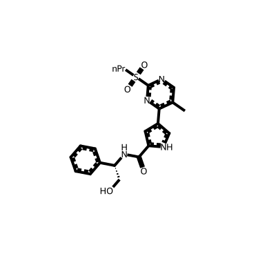 CCCS(=O)(=O)c1ncc(C)c(-c2c[nH]c(C(=O)N[C@H](CO)c3ccccc3)c2)n1